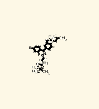 CC(C)Cn1ncc2cc(C(=NOCCNC(=O)OC(C)(C)C)c3ccc(F)cc3F)ccc21